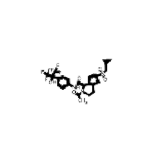 CC(=O)N1CCc2cc(S(=O)(=O)CC3CC3)ccc2C1C(=O)Nc1ccc(C(O)(C(F)(F)F)C(F)(F)F)cc1